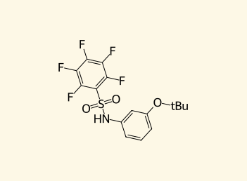 CC(C)(C)Oc1cccc(NS(=O)(=O)c2c(F)c(F)c(F)c(F)c2F)c1